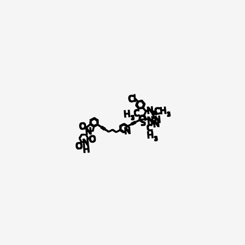 Cc1c(C#Cc2ccc(CCCC#Cc3cccc4c3CN(C3CCC(=O)NC3=O)C4=O)cn2)sc2c1C(c1ccc(Cl)cc1)=N[C@@H](C)c1nnc(C)n1-2